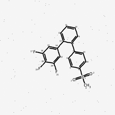 CS(=O)(=O)c1ccc(-c2ccccc2-c2cc(F)c(F)c(F)c2)cc1